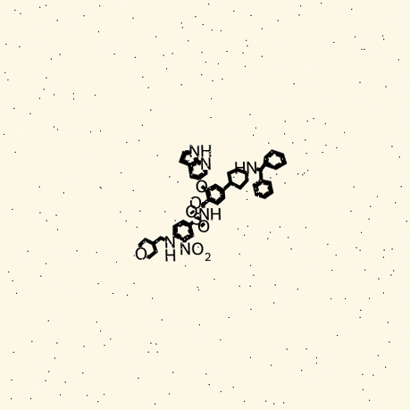 O=C(NS(=O)(=O)c1ccc(NCC2CCOCC2)c([N+](=O)[O-])c1)c1ccc(C2CCC(NC(c3ccccc3)c3ccccc3)CC2)cc1Oc1cnc2[nH]ccc2c1